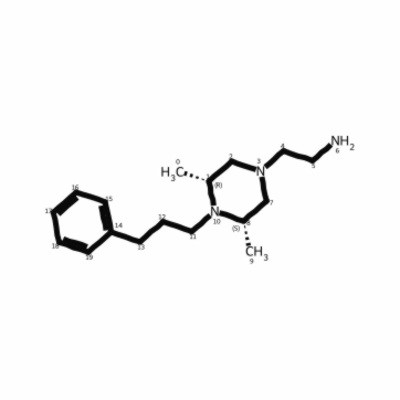 C[C@@H]1CN(CCN)C[C@H](C)N1CCCc1ccccc1